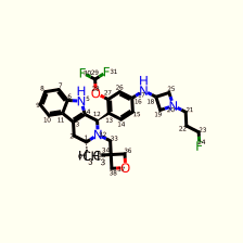 C[C@@H]1Cc2c([nH]c3ccccc23)[C@@H](c2ccc(NC3CN(CCCF)C3)cc2OC(F)F)N1CC1(C)COC1